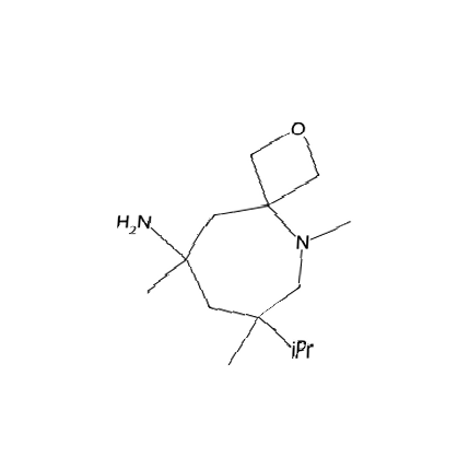 CC(C)C1(C)CN(C)C2(COC2)CC(C)(N)C1